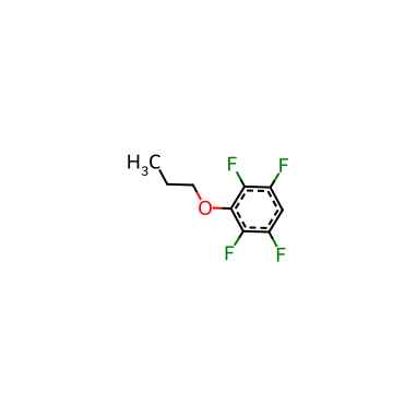 CCCOc1c(F)c(F)cc(F)c1F